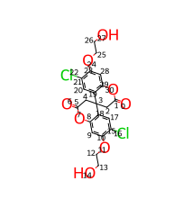 O=C1CC2(CC(=O)Oc3cc(OCCO)c(Cl)cc32)c2cc(Cl)c(OCCO)cc2O1